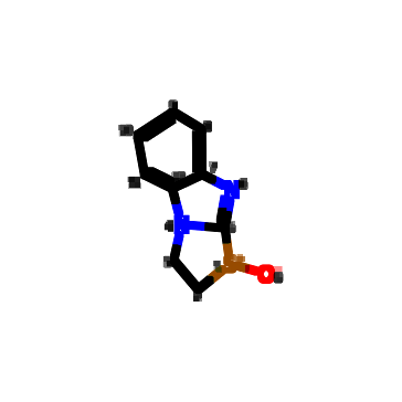 [O-][S+]1CCn2c1nc1ccccc12